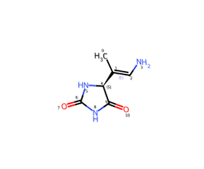 C/C(=C\N)[C@@H]1NC(=O)NC1=O